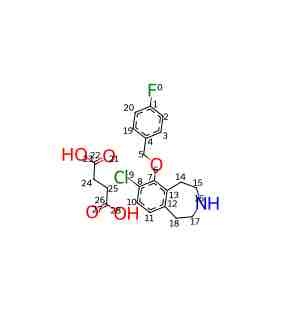 Fc1ccc(COc2c(Cl)ccc3c2CCNCC3)cc1.O=C(O)CCC(=O)O